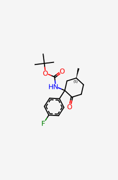 C[C@H]1CCC(=O)C(NC(=O)OC(C)(C)C)(c2ccc(F)cc2)C1